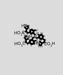 Cc1ccc(CC(C(=O)O)C2CCNC2)cc1CN(Cc1cc(CC(C(=O)O)C2CCNC2)ccc1C)Cc1cc(CC(C(=O)O)C2CCNC2)ccc1C